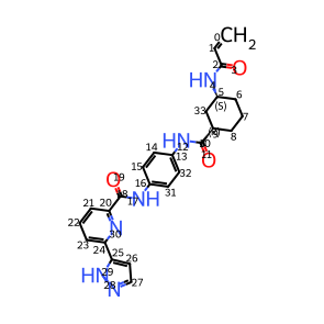 C=CC(=O)N[C@H]1CCC[C@@H](C(=O)Nc2ccc(NC(=O)c3cccc(-c4ccn[nH]4)n3)cc2)C1